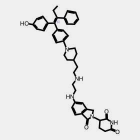 CC/C(=C(\c1ccc(O)cc1)c1ccc(N2CCC(CCNCCNc3ccc4c(c3)CN(C3CCC(=O)NC3=O)C4=O)CC2)cc1)c1ccccc1